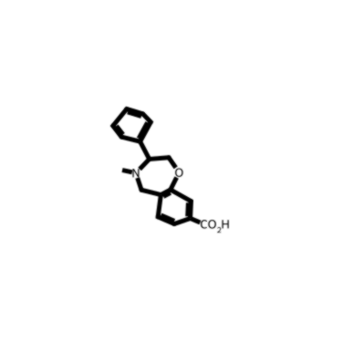 CN1Cc2ccc(C(=O)O)cc2OCC1c1ccccc1